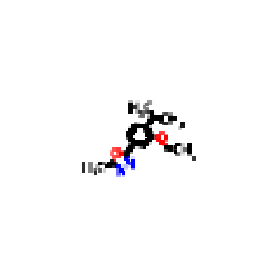 CCOc1cc(-c2nnc(C)o2)ccc1C(C)C